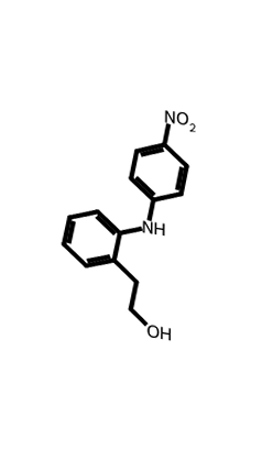 O=[N+]([O-])c1ccc(Nc2ccccc2CCO)cc1